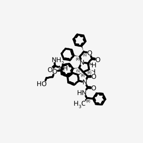 C[C@@H](NC(=O)N1C(=O)[C@@]2(C3C=C(CNC(N)=O)C=CC31)[C@H](c1ccc(OCCO)cc1)N1[C@H](C3=CCCC=C3)[C@H](c3ccccc3)OC(=O)[C@H]1[C@@H]2I)c1ccccc1